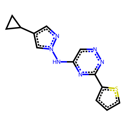 c1csc(-c2nncc(Nn3cc(C4CC4)cn3)n2)c1